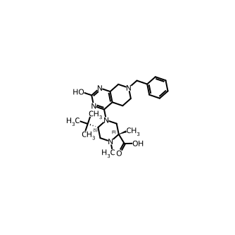 CN1C[C@H](C(C)(C)C)N(c2nc(O)nc3c2CCN(Cc2ccccc2)C3)C[C@]1(C)C(=O)O